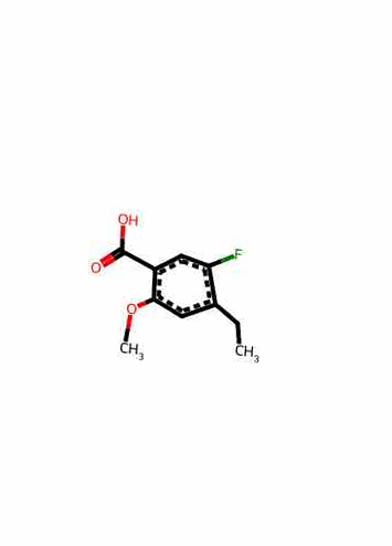 CCc1cc(OC)c(C(=O)O)cc1F